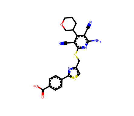 N#Cc1c(N)nc(SCc2csc(-c3ccc(C(=O)O)cc3)n2)c(C#N)c1C1CCCOC1